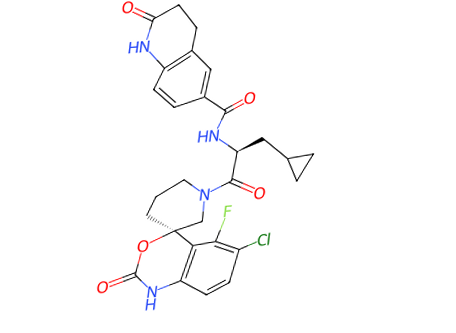 O=C1CCc2cc(C(=O)N[C@@H](CC3CC3)C(=O)N3CCC[C@@]4(C3)OC(=O)Nc3ccc(Cl)c(F)c34)ccc2N1